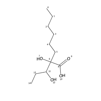 CCCCCCC(O)(C(=O)O)C(O)CC